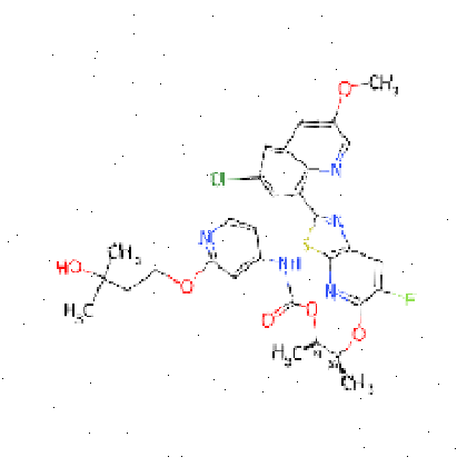 COc1cnc2c(-c3nc4cc(F)c(O[C@@H](C)[C@@H](C)OC(=O)Nc5ccnc(OCCC(C)(C)O)c5)nc4s3)cc(Cl)cc2c1